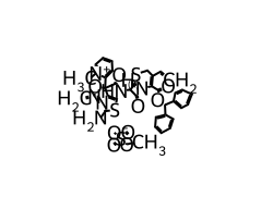 C=CC1=C(C(=O)OC(c2ccccc2)c2ccccc2)N2C(=O)C(NC(=O)C(ON=C)(c3csc(N)n3)c3cccc[n+]3C)[C@H]2SC1.COS(=O)(=O)[O-]